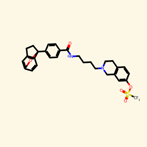 O=C(NCCCCN1CCc2ccc(OS(=O)(=O)C(F)(F)F)cc2C1)c1ccc(C23CCc4cc(ccc42)O3)cc1